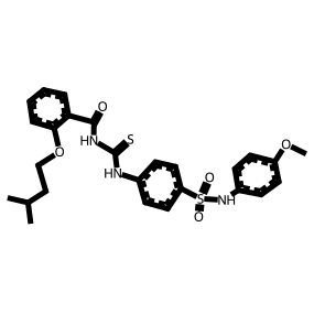 COc1ccc(NS(=O)(=O)c2ccc(NC(=S)NC(=O)c3ccccc3OCCC(C)C)cc2)cc1